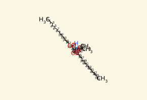 CCCCCCCCCCCCCCCCCCOC(=O)C[C@H](NC(=O)OC(C)(C)C)C(=O)OCCCCCCCCCCCCCCCCCC